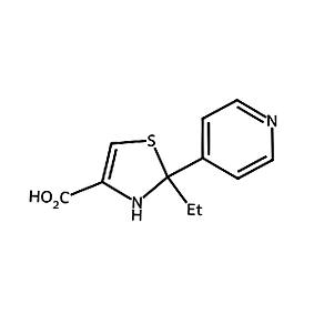 CCC1(c2ccncc2)NC(C(=O)O)=CS1